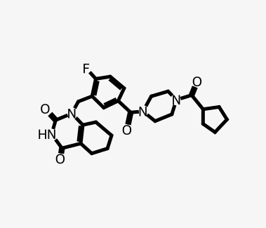 O=C(c1ccc(F)c(Cn2c3c(c(=O)[nH]c2=O)CCCC3)c1)N1CCN(C(=O)C2CCCC2)CC1